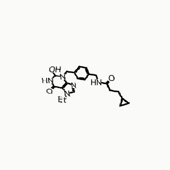 CCn1cnc2c1C(=O)NC(O)N2Cc1ccc(CNC(=O)CCC2CC2)cc1